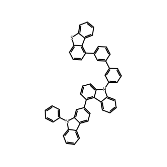 c1ccc(-n2c3ccccc3c3ccc(-c4cccc5c4c4ccccc4n5-c4cccc(-c5cccc(-c6cccc7sc8ccccc8c67)c5)c4)cc32)cc1